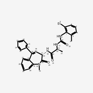 CCc1cccc(C)c1NC(=O)N[C@@H](C)C(=O)N[C@H]1N=C(c2ccccc2)c2ccccc2N(C)C1=O